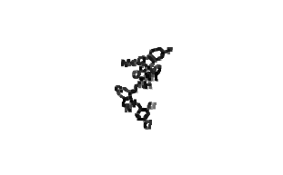 COc1ccc(F)cc1S(=O)(=O)NC(=O)NCC=C1COCc2cnn(Cc3ccc(Cl)cc3Cl)c21